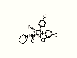 N#C[C@@H]1C(C(=O)NN2CCCCCC2)=NN(c2ccc(Cl)cc2Cl)[C@@H]1c1ccc(Cl)cc1